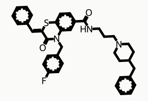 O=C(NCCCN1CCC(Cc2ccccc2)CC1)c1ccc2c(c1)N(Cc1ccc(F)cc1)C(=O)C(=Cc1ccccc1)S2